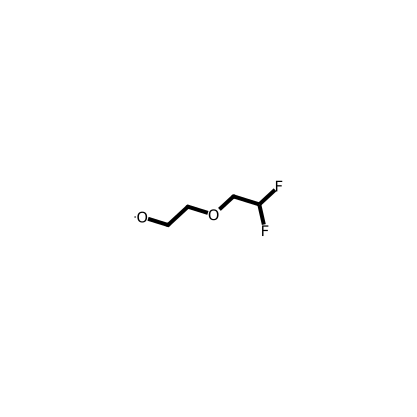 [O]CCOCC(F)F